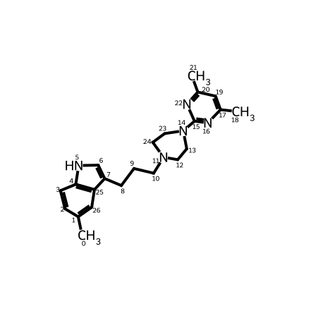 Cc1ccc2[nH]cc(CCCN3CCN(c4nc(C)cc(C)n4)CC3)c2c1